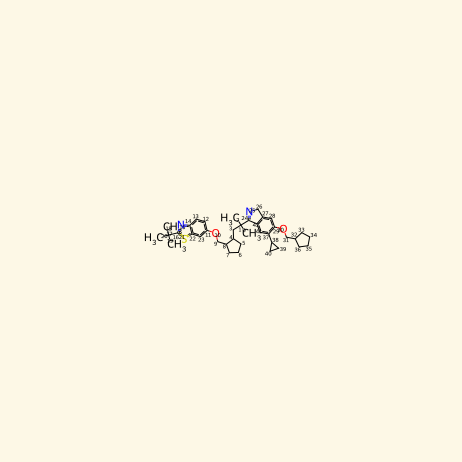 CC(C)(CC1CCCC1COc1ccc2nc(C(C)(C)C)sc2c1)C1=NCc2cc(OCC3CCCC3)c(C3CC3)cc21